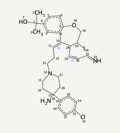 CC(C)(O)c1ccc2c(c1)/C(=C/CCN1CCC(N)(c3ccc(Cl)cc3)CC1)C(/C=C\C=N)C(I)CO2